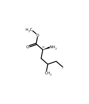 COC(=O)[C@@H](N)CC(C)CI